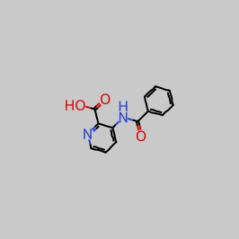 O=C(Nc1cccnc1C(=O)O)c1ccccc1